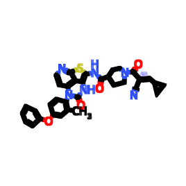 Cc1cc(Oc2ccccc2)ccc1N1C(=O)Nc2c(NC(=O)C3CCN(C(=O)/C(C#N)=C/C4CC4)CC3)sc3nccc1c23